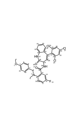 COc1ccc(CN(C)c2ncc(F)cc2C(=O)NC2N=C(c3c(Cl)cc(Cl)cc3Cl)c3ccccc3NC2=O)cc1